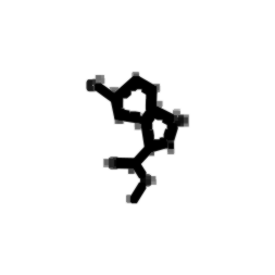 COC(=O)c1n[nH]c2ccc(Cl)cc12